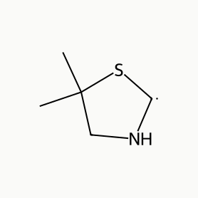 CC1(C)CN[CH]S1